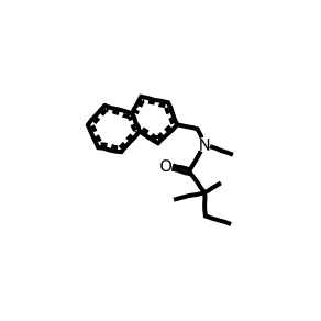 CCC(C)(C)C(=O)N(C)Cc1ccc2ccccc2c1